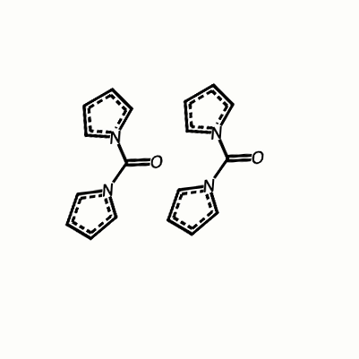 O=C(n1cccc1)n1cccc1.O=C(n1cccc1)n1cccc1